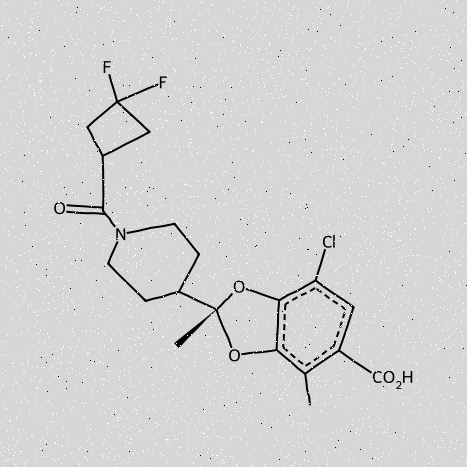 Cc1c(C(=O)O)cc(Cl)c2c1O[C@](C)(C1CCN(C(=O)C3CC(F)(F)C3)CC1)O2